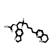 O=C(O)C[C@@H](CC(F)(F)CCCCc1ccc2c(n1)NCCC2)c1ccc2c(c1)OCC2